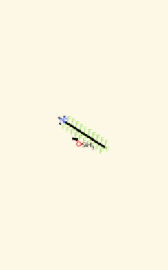 CCO[SiH3].C[N+](C)(C)C(F)(F)C(F)(F)C(F)(F)C(F)(F)C(F)(F)C(F)(F)C(F)(F)C(F)(F)C(F)(F)C(F)(F)F